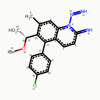 Cc1cc2c(ccc(=N)n2N=N)c(-c2ccc(Cl)cc2)c1[C@H](OC(C)(C)C)C(=O)O